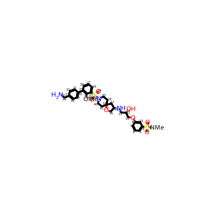 CNS(=O)(=O)c1cccc(OCC(O)CN[C@@H]2COC3(CCN(S(=O)(=O)c4cccc(-c5ccc(CN)cc5)c4OC)CC3)C2)c1